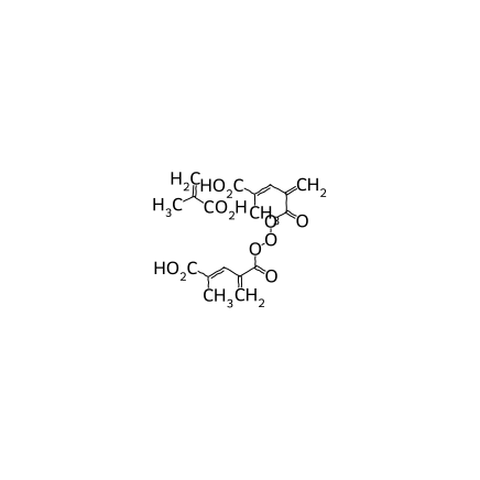 C=C(C)C(=O)O.C=C(C=C(C)C(=O)O)C(=O)OOOC(=O)C(=C)C=C(C)C(=O)O